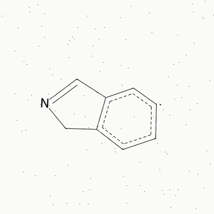 [c]1ccc2c(c1)C=NC2